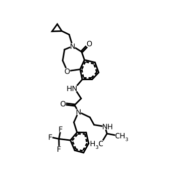 CC(C)NCCN(Cc1ccccc1C(F)(F)F)C(=O)CNc1cccc2c1OCCN(CC1CC1)C2=O